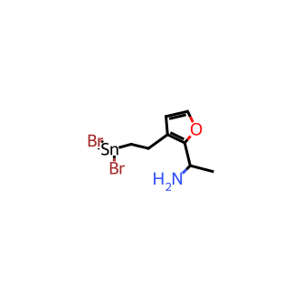 CC(N)c1occc1C[CH2][Sn]([Br])[Br]